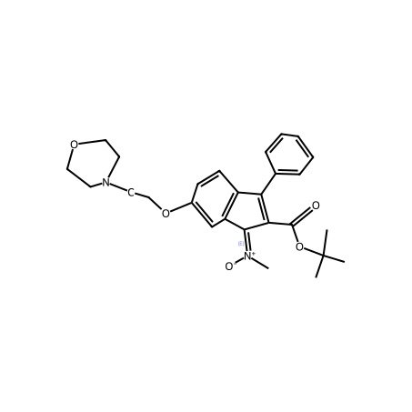 C/[N+]([O-])=C1\C(C(=O)OC(C)(C)C)=C(c2ccccc2)c2ccc(OCCN3CCOCC3)cc21